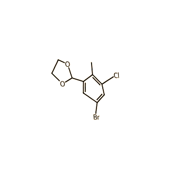 Cc1c(Cl)cc(Br)cc1C1OCCO1